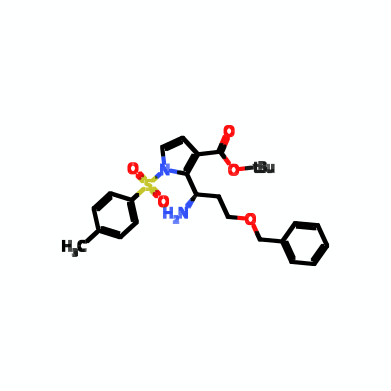 Cc1ccc(S(=O)(=O)n2ccc(C(=O)OC(C)(C)C)c2[C@H](N)CCOCc2ccccc2)cc1